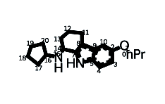 CCCOc1ccc2[nH]c3c(c2c1)CCCC3NC1CCCC1